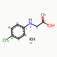 O=C(O)CNc1ccc(Cl)cc1.[KH]